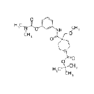 COCC1(C(=O)Nc2cccc(OC(=O)N(C)C)c2)CCN(C(=O)OC(C)(C)C)CC1